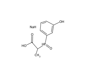 CC(C(=O)O)[PH](=O)c1cccc(O)c1.[NaH]